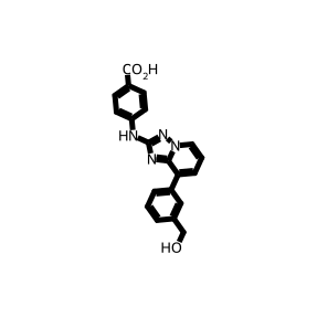 O=C(O)c1ccc(Nc2nc3c(-c4cccc(CO)c4)cccn3n2)cc1